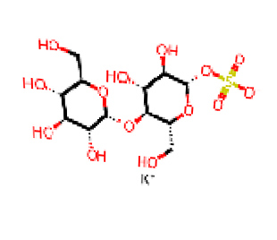 O=S(=O)([O-])O[C@@H]1O[C@H](CO)[C@@H](O[C@H]2O[C@H](CO)[C@@H](O)[C@H](O)[C@H]2O)[C@H](O)[C@H]1O.[K+]